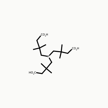 CC(C)(CC(=O)O)CP(CC(C)(C)CC(=O)O)CC(C)(C)CC(=O)O